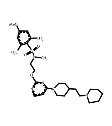 COc1cc(C)c(S(=O)(=O)N(C)CCOc2nccc(N3CCC(CCN4CCCCC4)CC3)n2)c(C)c1